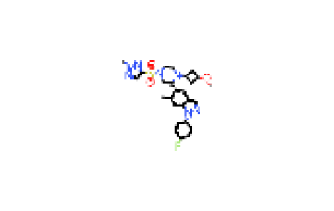 COC1CC(N2CCN(S(=O)(=O)c3cnn(C)n3)C[C@@H]2c2cc3cnn(-c4ccc(F)cc4)c3cc2C)C1